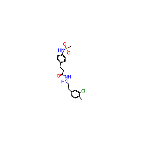 Cc1ccc(CCNNC(=O)CCc2ccc(NS(C)(=O)=O)cc2)cc1Cl